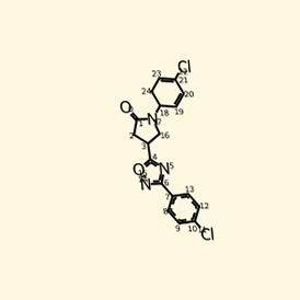 O=C1CC(c2nc(-c3ccc(Cl)cc3)no2)CN1C1C=CC(Cl)=CC1